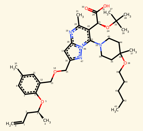 C=CC[C@H](C)Oc1ccc(C)cc1COCc1cc2nc(C)c([C@H](OC(C)(C)C)C(=O)O)c(N3CCC(C)(OCCCCC)CC3)n2n1